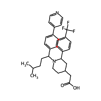 CC(C)CCC(c1ccc(-c2ccncc2)cc1)N1CCC(CC(=O)O)CC1c1ccc(C(F)(F)F)cc1